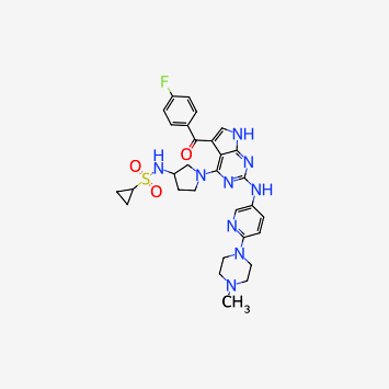 CN1CCN(c2ccc(Nc3nc(N4CCC(NS(=O)(=O)C5CC5)C4)c4c(C(=O)c5ccc(F)cc5)c[nH]c4n3)cn2)CC1